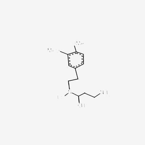 COc1ccc(CCN(C)C(C)CCN)cc1OC